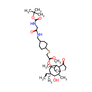 C=C[C@@]1(C)C[C@@H](OC(=O)CSC2CCC(CNC(=O)CNC(=O)OC(C)(C)C)CC2)[C@@]2(C)C3C(=O)CC[C@@]3(CC[C@H]2C)[C@@H](C)[C@@H]1O